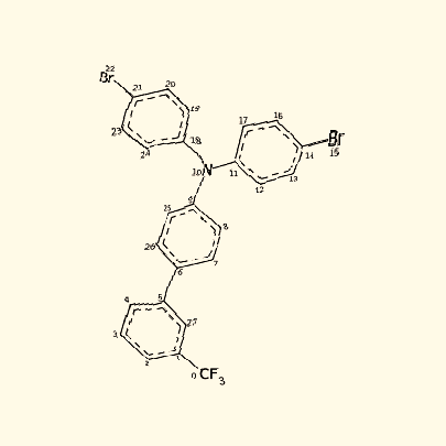 FC(F)(F)c1cccc(-c2ccc(N(c3ccc(Br)cc3)c3ccc(Br)cc3)cc2)c1